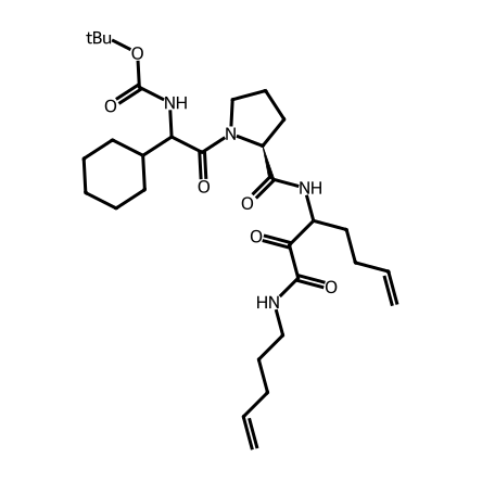 C=CCCCNC(=O)C(=O)C(CCC=C)NC(=O)[C@@H]1CCCN1C(=O)C(NC(=O)OC(C)(C)C)C1CCCCC1